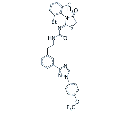 CCc1cccc(C)c1N1C(=O)CSC1=NC(=O)NCCc1cccc(-c2ncn(-c3ccc(OC(F)(F)F)cc3)n2)c1